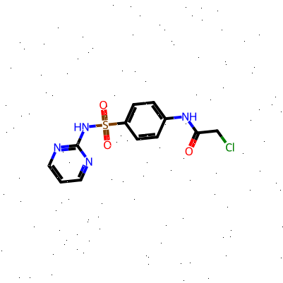 O=C(CCl)Nc1ccc(S(=O)(=O)Nc2ncccn2)cc1